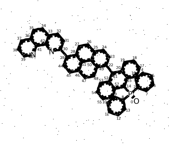 O=P(c1ccccc1)(c1ccccc1)c1c2ccccc2c(-c2ccc3ccc4c(-c5ccc6ccc7cccnc7c6n5)ccc5ccc2c3c54)c2ccccc12